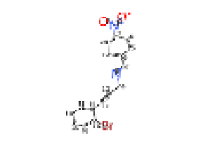 O=[N+]([O-])c1ccc(C=NCC#Cc2ccccc2Br)cc1